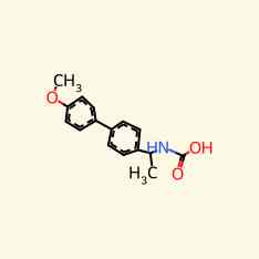 COc1ccc(-c2ccc(C(C)NC(=O)O)cc2)cc1